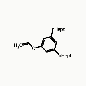 C=COc1cc(CCCCCCC)cc(CCCCCCC)c1